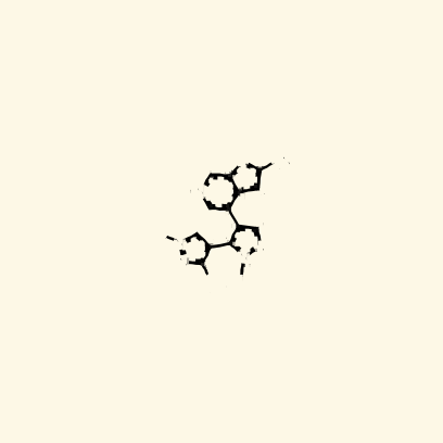 CCn1cc(-c2c(-c3cncc4sc(C#N)cc34)cnn2C)c(C(F)(F)F)n1